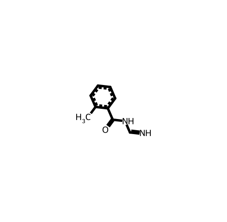 Cc1ccccc1C(=O)NC=N